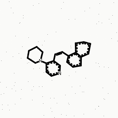 C(=C/c1cccc2ccccc12)/c1cnccc1N1CCCCC1